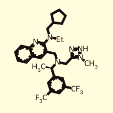 CCN(CC1CCCC1)c1nc2ccccc2cc1CN(Cc1n[nH]n1C)[C@H](C)c1cc(C(F)(F)F)cc(C(F)(F)F)c1